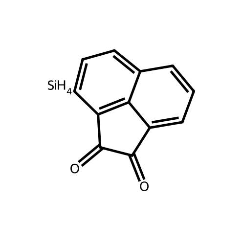 O=C1C(=O)c2cccc3cccc1c23.[SiH4]